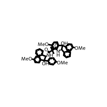 COc1ccc(C(O)(c2ccc(OC)cc2)[C@H](NC(=O)C(C)(C)C(=O)N[C@H](c2ccccc2)C(O)(c2ccc(OC)cc2)c2ccc(OC)cc2)c2ccccc2)cc1